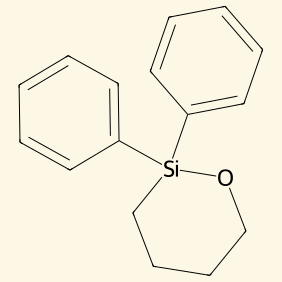 c1ccc([Si]2(c3ccccc3)CCCCO2)cc1